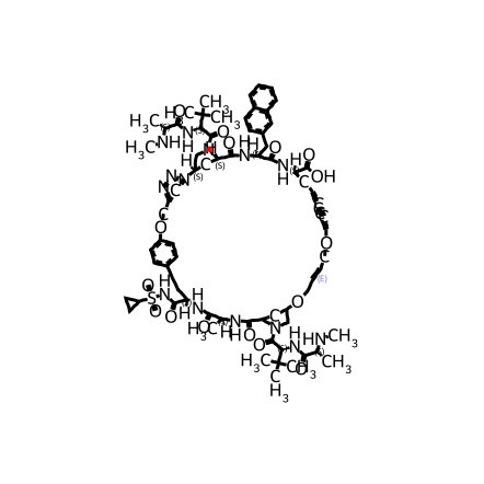 CN[C@@H](C)C(=O)N[C@H](C(=O)N1CC2CC1C(=O)N[C@@H](C)C(=O)N[C@H](C(=O)NS(=O)(=O)C1CC1)Cc1ccc(cc1)OCc1cn(nn1)[C@H]1C[C@@H](C(=O)N[C@@H](Cc3ccc4ccccc4c3)C(=O)N[C@H](C(=O)O)Cc3ccc(cc3)OC/C=C/CO2)N(C(=O)[C@@H](NC(=O)[C@H](C)NC)C(C)(C)C)C1)C(C)(C)C